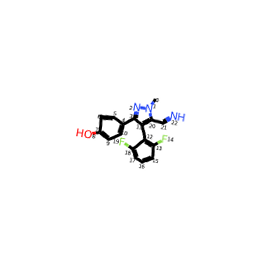 Cn1nc(-c2ccc(O)cc2)c(-c2c(F)cccc2F)c1C=N